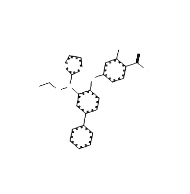 CCON(c1ncco1)c1cc(-c2ccccc2)ccc1Oc1ccc(C(=O)O)c(O)c1